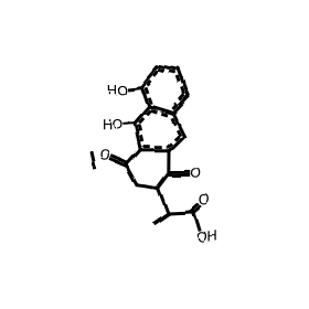 CC.CC(C(=O)O)C1CC(=O)c2c(cc3cccc(O)c3c2O)C1=O